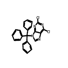 Clc1nc(Cl)c2ncn(C(c3ccccc3)(c3ccccc3)c3ccccc3)c2n1